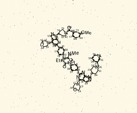 CCN(C(=O)Nc1ccc(-c2nc(N3CCOCC3)c3cnn(C4CCN(Cc5cccnc5)CC4)c3n2)cc1)N(C(=O)NC)c1ccc(-c2nc(N3CCOCC3)c3cnn(C4CCN(C(=O)c5cccc(OC)c5)CC4)c3n2)cc1